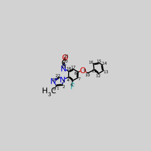 Cc1cn(-c2c(F)cc(OCc3ccccc3)cc2N=C=O)cn1